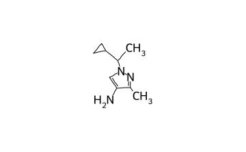 Cc1nn(C(C)C2CC2)cc1N